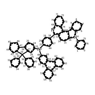 c1ccc(-n2c3ccccc3c3c4c(ccc32)c(-c2ccc(N(c3ccc5c(c3)C(c3ccccc3)(c3ccccc3)c3ccccc3-5)c3ccc5c6ccccc6c6ccccc6c5c3)cc2)nc2ccccc24)cc1